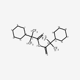 C=C(OC(=C)C(C1CCCCC1)(C(F)(F)F)C(F)(F)F)C(C1CCCCC1)(C(F)(F)F)C(F)(F)F